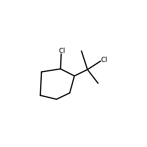 CC(C)(Cl)C1CCCCC1Cl